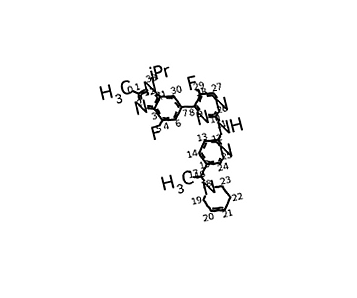 Cc1nc2c(F)cc(-c3nc(Nc4ccc(C(C)N5CC=CCC5)cn4)ncc3F)cc2n1C(C)C